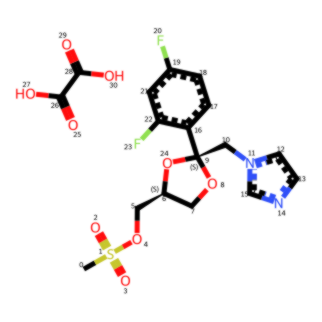 CS(=O)(=O)OC[C@@H]1CO[C@@](Cn2ccnc2)(c2ccc(F)cc2F)O1.O=C(O)C(=O)O